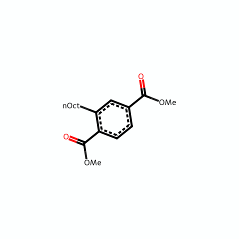 CCCCCCCCc1cc(C(=O)OC)ccc1C(=O)OC